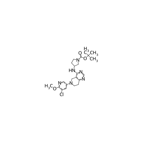 COc1ncc(N2CCc3ncnc(NC4CCN(C(=O)OC(C)(C)C)C4)c3C2)cc1Cl